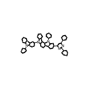 c1ccc(-c2cc(-c3ccc4c5ccc6c(c7ccccc7n6-c6ccc7c(c6)c6ccccc6n7-c6ccccc6)c5n(-c5ccccc5)c4c3)nc(-c3ccccc3)n2)cc1